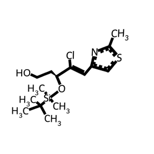 Cc1nc(C=C(Cl)[C@H](CCO)O[Si](C)(C)C(C)(C)C)cs1